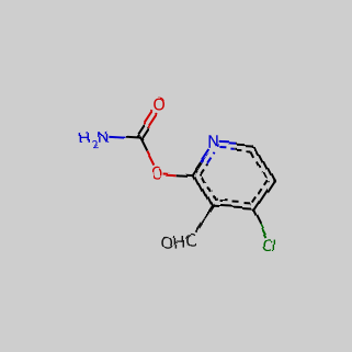 NC(=O)Oc1nccc(Cl)c1C=O